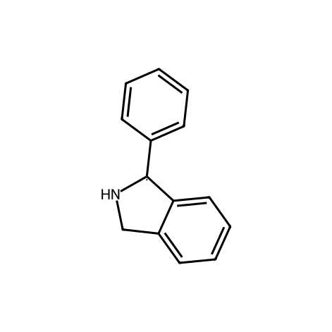 c1ccc([C]2NCc3ccccc32)cc1